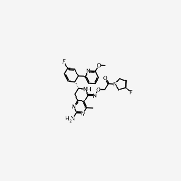 COc1cccc(C2C=C(F)C=CC2[C@H]2Cc3nc(N)nc(C)c3/C(=N/OCC(=O)N3CC[C@@H](F)C3)N2)n1